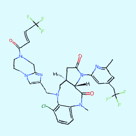 Cc1cc(C(F)(F)F)cc(N2C(=O)C[C@@H]3CN(Cc4cn5c(n4)CN(C(=O)/C=C/C(F)(F)F)CC5)c4c(Cl)cccc4N(C)C(=O)[C@H]32)n1